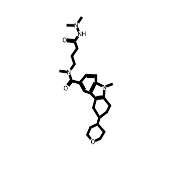 CN(C)NC(=O)CCCN(C)C(=O)c1ccc2c(c1)c1c(n2C)CCC(C2CCOCC2)C1